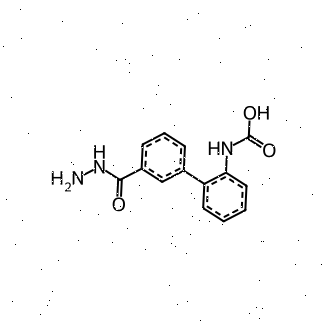 NNC(=O)c1cccc(-c2ccccc2NC(=O)O)c1